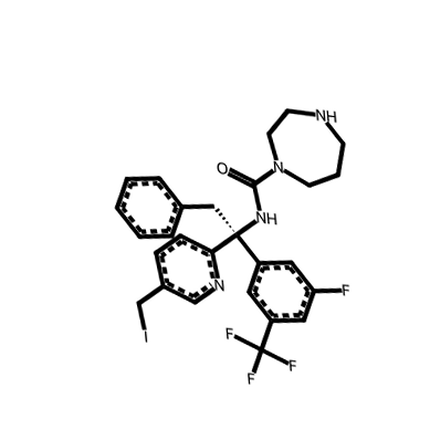 O=C(N[C@@](Cc1ccccc1)(c1cc(F)cc(C(F)(F)F)c1)c1ccc(CI)cn1)N1CCCNCC1